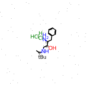 C[C@H](NC[C@@H](O)[C@@H](N)Cc1ccccc1)C(C)(C)C.Cl.Cl